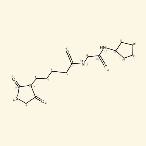 O=C(CCCCN1C(=O)CSC1=O)NCC(=O)NC1CCCC1